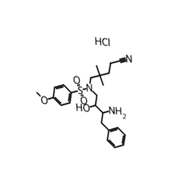 COc1ccc(S(=O)(=O)N(CC(O)C(N)Cc2ccccc2)CC(C)(C)CCC#N)cc1.Cl